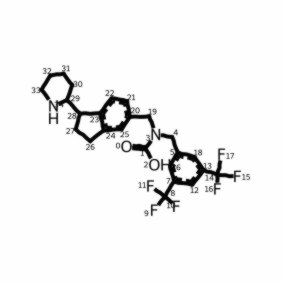 O=C(O)N(Cc1cc(C(F)(F)F)cc(C(F)(F)F)c1)Cc1ccc2c(c1)CCC2C1CCCCN1